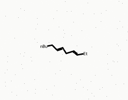 CCC=CCC=CCCCCC